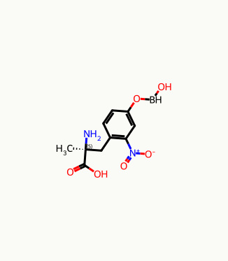 C[C@](N)(Cc1ccc(OBO)cc1[N+](=O)[O-])C(=O)O